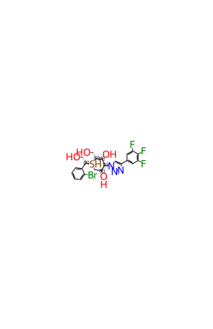 OC[C@@H]1[C@H](O)[C@@H](n2cc(-c3cc(F)c(F)c(F)c3)nn2)[C@@H](O)C[SH]1[C@@H](CO)c1ccccc1Br